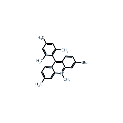 Cc1cc(C)c(-c2c3ccc(C)cc3[n+](C)c3cc(C(C)(C)C)ccc23)c(C)c1